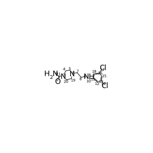 NC(=O)N1CCN(CCNCc2cc(Cl)cc(Cl)c2)CC1